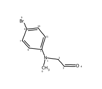 CN(CC=O)c1ccc(Br)cc1